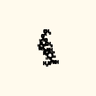 CCOC(=O)Cn1cnc(-c2nc3cc(C(=N)N)ccc3[nH]2)c1C